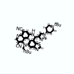 CC(C)(C)CNc1c(C#N)cnc2c(C#N)cc(N[C@H](c3cn(C4CCN(C(C)(C)C)CC4)nn3)c3cccc4ncsc34)cc12